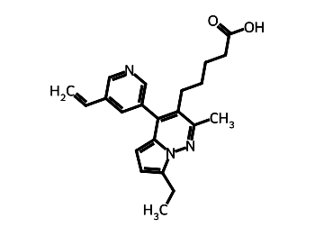 C=Cc1cncc(-c2c(CCCCC(=O)O)c(C)nn3c(CC)ccc23)c1